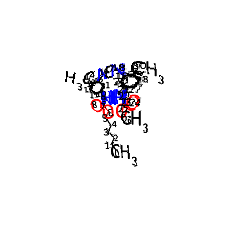 CCCCCCOC(=O)Nc1ccc(C)c(N=C=Nc2cc(NC(=O)OC)ccc2C)c1